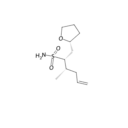 C=CC[C@H](C)[C@@H](C[C@H]1CCCO1)S(N)(=O)=O